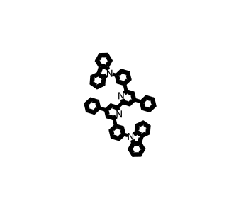 c1ccc(-c2cc(-c3cccc(-n4c5ccccc5c5ccccc54)c3)nc(-c3cc(-c4ccccc4)cc(-c4cccc(-n5c6ccccc6c6ccccc65)c4)n3)c2)cc1